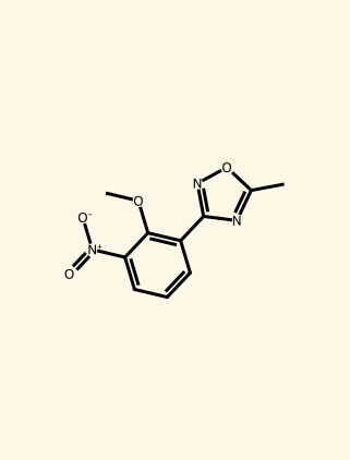 COc1c(-c2noc(C)n2)cccc1[N+](=O)[O-]